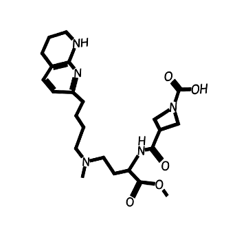 COC(=O)C(CCN(C)CCCCc1ccc2c(n1)NCCC2)NC(=O)C1CN(C(=O)O)C1